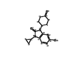 O=C1CCC(n2c(=O)n(C3CC3)c3cnc(Cl)nc32)CC1